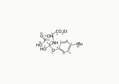 CCOC(=O)CNC(O)(Oc1ccc(C(C)(C)C)cc1)P(=O)(O)O